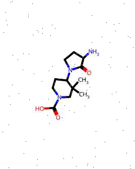 CC1(C)CN(C(=O)O)CCC1N1CCC(N)C1=O